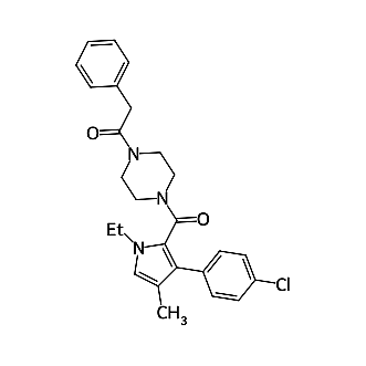 CCn1cc(C)c(-c2ccc(Cl)cc2)c1C(=O)N1CCN(C(=O)Cc2ccccc2)CC1